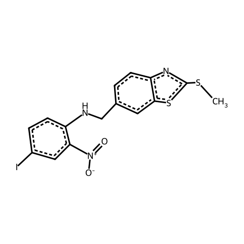 CSc1nc2ccc(CNc3ccc(I)cc3[N+](=O)[O-])cc2s1